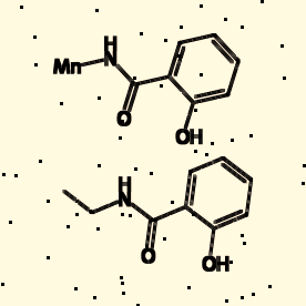 CCNC(=O)c1ccccc1O.O=C([NH][Mn])c1ccccc1O